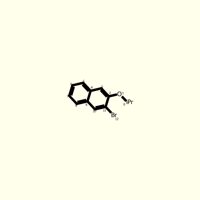 CC(C)Oc1cc2ccccc2cc1Br